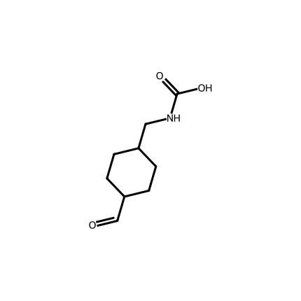 O=CC1CCC(CNC(=O)O)CC1